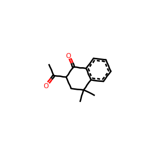 CC(=O)C1CC(C)(C)c2ccccc2C1=O